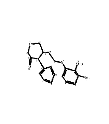 O=Cc1c(O)cccc1OCC[C@@H]1COCC(=O)N1c1ccccc1